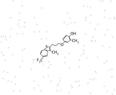 Cc1cc(OCCCc2sc3ccc(C(F)(F)F)cc3c2C)ccc1O